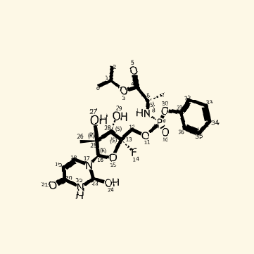 CC(C)OC(=O)[C@H](C)N[P@](=O)(OC[C@@]1(F)O[C@@H](N2C=CC(=O)NC2O)[C@](C)(O)[C@@H]1O)Oc1ccccc1